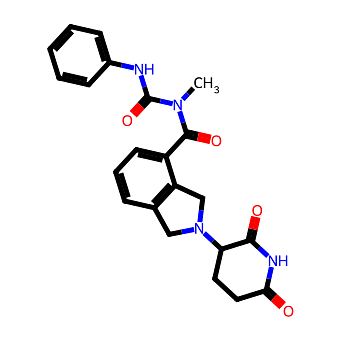 CN(C(=O)Nc1ccccc1)C(=O)c1cccc2c1CN(C1CCC(=O)NC1=O)C2